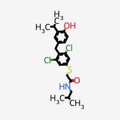 CC(C)CNC(=O)CSc1cc(Cl)c(Cc2ccc(O)c(C(C)C)c2)c(Cl)c1